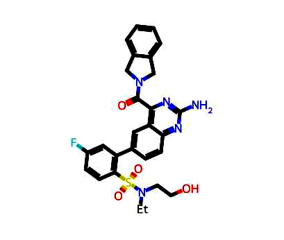 CCN(CCO)S(=O)(=O)c1ccc(F)cc1-c1ccc2nc(N)nc(C(=O)N3Cc4ccccc4C3)c2c1